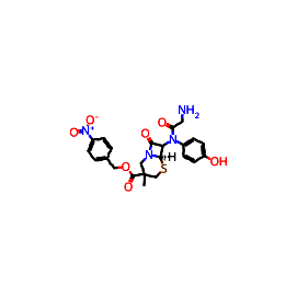 CC1(C(=O)OCc2ccc([N+](=O)[O-])cc2)CS[C@@H]2C(N(C(=O)CN)c3ccc(O)cc3)C(=O)N2C1